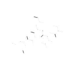 C=CC(C)CC(NC(=O)C(NC(=O)C(C)N(C)C)C(O)C(C)C)C(=O)NC(C)C(=O)N(CC=O)CCCC